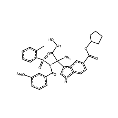 COc1cccc(C(=O)N(C(N)(C(=O)NO)c2c[nH]c3ccc(C(=O)OC4CCCC4)cc23)S(=O)(=O)c2ccccc2C)c1